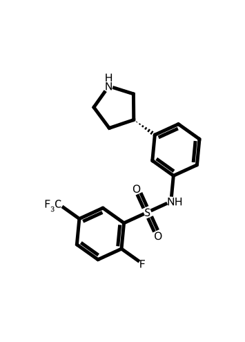 O=S(=O)(Nc1cccc([C@@H]2CCNC2)c1)c1cc(C(F)(F)F)ccc1F